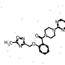 Cc1nc(COc2ccccc2C(=O)N2CCN(c3ncccn3)CC2)no1